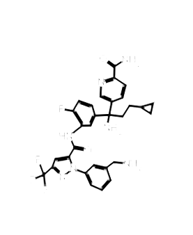 NCc1cccc(-n2nc(C(F)(F)F)cc2C(=O)Nc2cc(C(N)(CCC3CC3)c3ccc(C(N)=O)nc3)ccc2F)c1